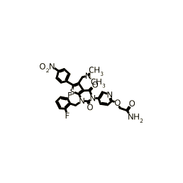 CN(C)Cc1c(-c2ccc([N+](=O)[O-])cc2)sc2c1c(=O)n(-c1ccc(OCC(N)=O)nc1)c(=O)n2Cc1c(F)cccc1F